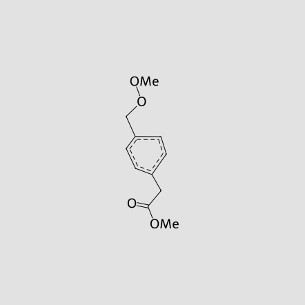 COOCc1ccc(CC(=O)OC)cc1